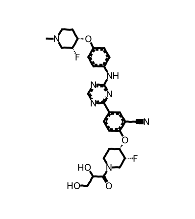 CN1CC[C@H](Oc2ccc(Nc3ncnc(-c4ccc(O[C@H]5CCN(C(=O)C(O)CO)C[C@H]5F)c(C#N)c4)n3)cc2)[C@H](F)C1